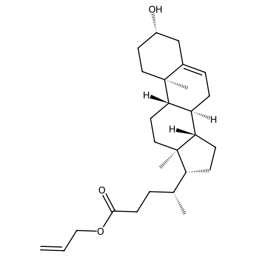 C=CCOC(=O)CC[C@@H](C)[C@H]1CC[C@H]2[C@@H]3CC=C4C[C@@H](O)CC[C@]4(C)[C@H]3CC[C@]12C